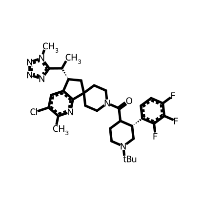 Cc1nc2c(cc1Cl)[C@H](C(C)c1nnnn1C)CC21CCN(C(=O)C2CCN(C(C)(C)C)C[C@H]2c2ccc(F)c(F)c2F)CC1